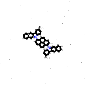 CC(C)(C)c1ccc2c(c1)c1cc3ccccc3cc1n2-c1ccc2ccc3c(-n4c5ccc(C(C)(C)C)cc5c5cc6ccccc6cc54)ccc4ccc1c2c43